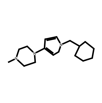 CN1CCN(C2=CCN(CC3CCCCC3)C=C2)CC1